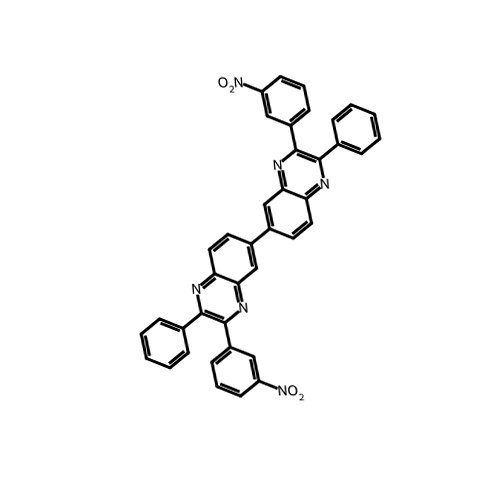 O=[N+]([O-])c1cccc(-c2nc3cc(-c4ccc5nc(-c6ccccc6)c(-c6cccc([N+](=O)[O-])c6)nc5c4)ccc3nc2-c2ccccc2)c1